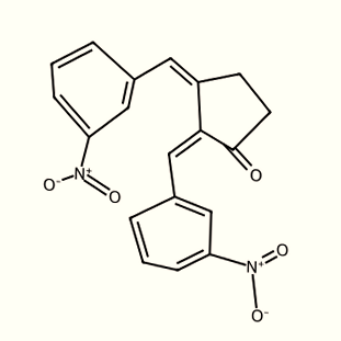 O=C1CCC(=Cc2cccc([N+](=O)[O-])c2)C1=Cc1cccc([N+](=O)[O-])c1